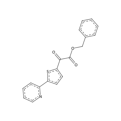 O=C(OCc1ccccc1)C(=O)c1ccc(-c2ccccn2)s1